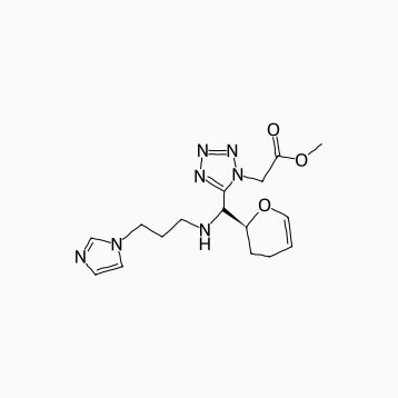 COC(=O)Cn1nnnc1C(NCCCn1ccnc1)[C@@H]1CCC=CO1